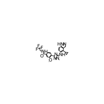 COc1cc(C(=O)NCC(F)(F)F)ccc1-c1nc(Nc2ccc3[nH]ncc3c2C2CC2)n(C)n1